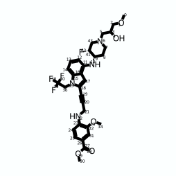 COCC(O)CN1CC[C@H](Nc2cccc3c2cc(C#CCNc2ccc(C(=O)OC)cc2OC)n3CC(F)(F)F)[C@H](F)C1